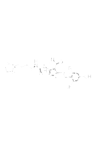 Cc1cc(F)c(COc2nsc(NC(=O)NCCCCN3CCCC3)c2C(N)=O)c(F)c1